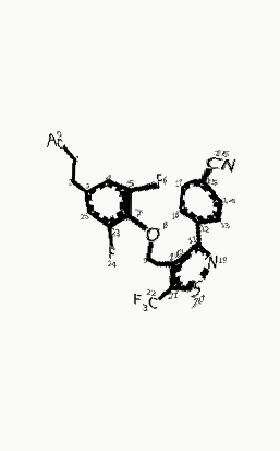 CC(=O)CCc1cc(F)c(OCc2c(-c3ccc(C#N)cc3)nsc2C(F)(F)F)c(F)c1